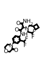 NC(=O)[C@H](C(=O)Nc1ccc(N2CCOCC2=O)cc1C(F)F)N(CC(F)F)CC1CCC1